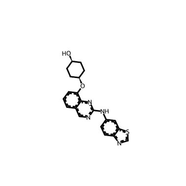 O[C@H]1CC[C@@H](Oc2cccc3cnc(Nc4ccc5ncsc5c4)nc23)CC1